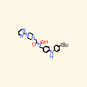 CC(C)(C)c1ccc(Nc2ccc(CN(O)C(=O)CN3CCN(c4ncccn4)CC3)cc2)cc1